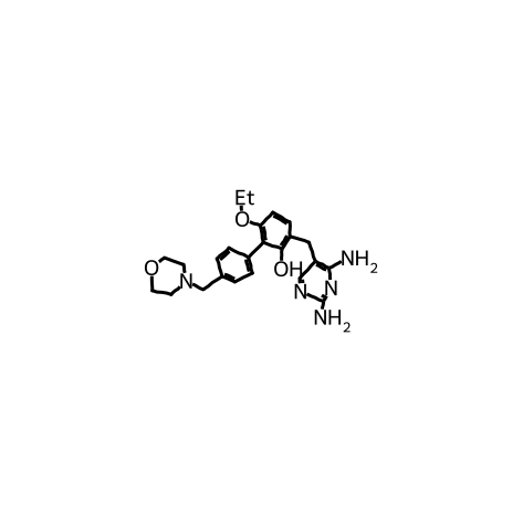 CCOc1ccc(Cc2cnc(N)nc2N)c(O)c1-c1ccc(CN2CCOCC2)cc1